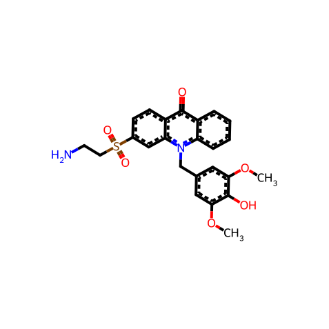 COc1cc(Cn2c3ccccc3c(=O)c3ccc(S(=O)(=O)CCN)cc32)cc(OC)c1O